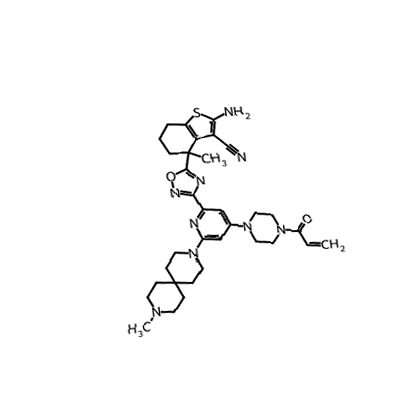 C=CC(=O)N1CCN(c2cc(-c3noc(C4(C)CCCc5sc(N)c(C#N)c54)n3)nc(N3CCC4(CCN(C)CC4)CC3)c2)CC1